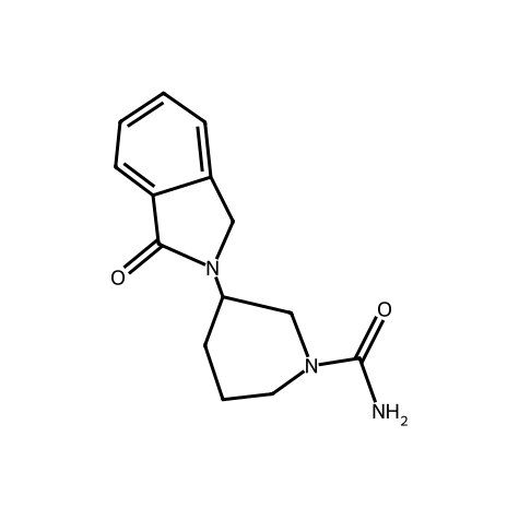 NC(=O)N1CCCC(N2Cc3ccccc3C2=O)C1